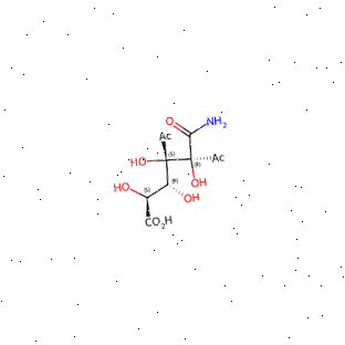 CC(=O)[C@@](O)(C(N)=O)[C@](O)(C(C)=O)[C@H](O)[C@H](O)C(=O)O